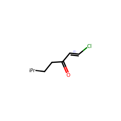 CC(C)CCC(=O)/C=C/Cl